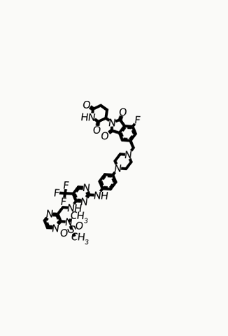 CN(c1nccnc1CNc1nc(Nc2ccc(N3CCN(Cc4cc(F)c5c(c4)C(=O)N(C4CCC(=O)NC4=O)C5=O)CC3)cc2)ncc1C(F)(F)F)S(C)(=O)=O